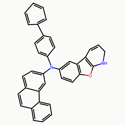 C1=Cc2c(oc3ccc(N(c4ccc(-c5ccccc5)cc4)c4ccc5ccc6ccccc6c5c4)cc23)NC1